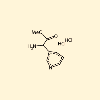 COC(=O)C(N)c1cccnc1.Cl.Cl